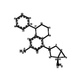 Nc1nc2c(c(N3CC4C[C@]4(N)C3)n1)CCCC2c1ccccc1